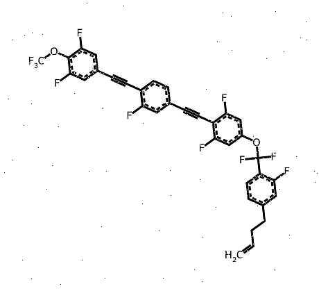 C=CCCc1ccc(C(F)(F)Oc2cc(F)c(C#Cc3ccc(C#Cc4cc(F)c(OC(F)(F)F)c(F)c4)c(F)c3)c(F)c2)c(F)c1